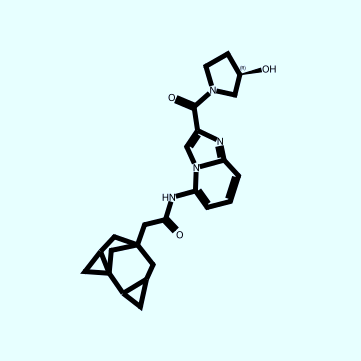 O=C(CC12CC3CC3C3(CC3C1)C2)Nc1cccc2nc(C(=O)N3CC[C@@H](O)C3)cn12